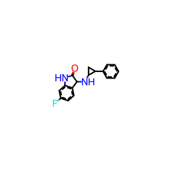 O=C1Nc2cc(F)ccc2C1NC1CC1c1ccccc1